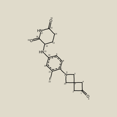 O=C1CC2(C1)CN(c1ccc(NC3CCC(=O)NC3=O)cc1F)C2